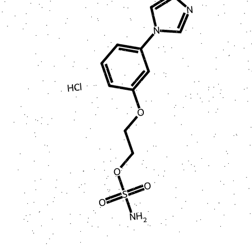 Cl.NS(=O)(=O)OCCOc1cccc(-n2ccnc2)c1